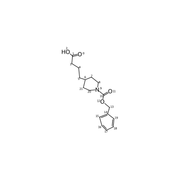 O=C(O)CCCC1CCN(C(=O)OCc2ccccc2)CC1